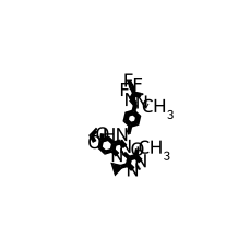 COc1ncnc(C2CC2)c1-c1nc2c(c(NCc3ccc(-c4nc(C(F)(F)F)cn4C)cc3)n1)CC1(CC2)OCCO1